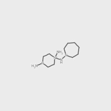 NN1CC[N+](N)(NN2CCCCCC2)CC1